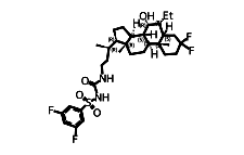 CC[C@H]1[C@@H](O)[C@@H]2[C@H](CC[C@]3(C)[C@@H]([C@H](C)CCNC(=O)NS(=O)(=O)c4cc(F)cc(F)c4)CC[C@@H]23)[C@@]2(C)CCC(F)(F)C[C@@H]12